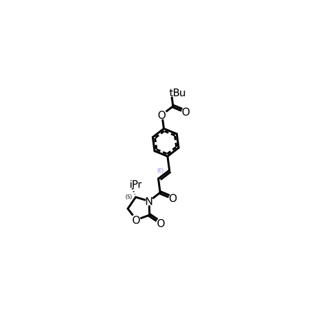 CC(C)[C@H]1COC(=O)N1C(=O)/C=C/c1ccc(OC(=O)C(C)(C)C)cc1